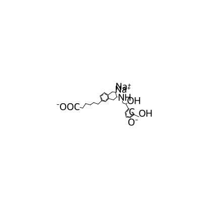 O=C([O-])CCCCCc1ccc2c(c1)C[C@@H](NCC(O)c1ccc([O-])c(CO)c1)CC2.[Na+].[Na+]